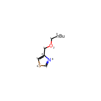 [CH2]CCCCOCc1cscn1